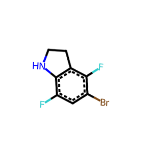 Fc1cc(Br)c(F)c2c1NCC2